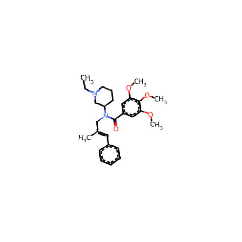 CCN1CCCC(N(CC(C)=Cc2ccccc2)C(=O)c2cc(OC)c(OC)c(OC)c2)C1